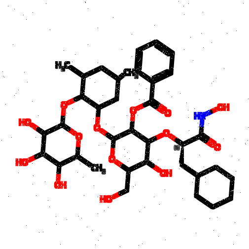 CC1CC(C)C(OC2OC(C)C(O)C(O)C2O)C(OC2OC(CO)C(O)C(O[C@@H](CC3CCCCC3)C(=O)NO)C2OC(=O)c2ccccc2)C1